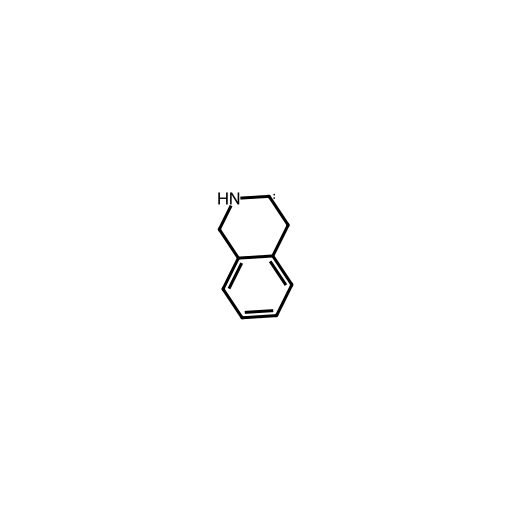 [C]1Cc2ccccc2CN1